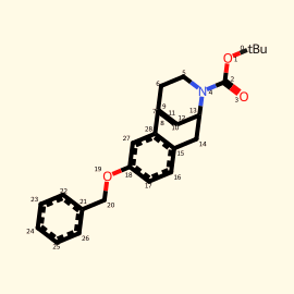 CC(C)(C)OC(=O)N1CCC23CCCCC2C1Cc1ccc(OCc2ccccc2)cc13